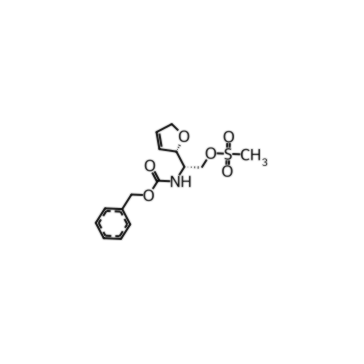 CS(=O)(=O)OC[C@H](NC(=O)OCc1ccccc1)[C@@H]1C=CCO1